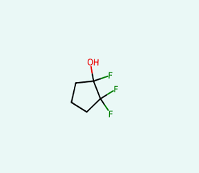 OC1(F)CCCC1(F)F